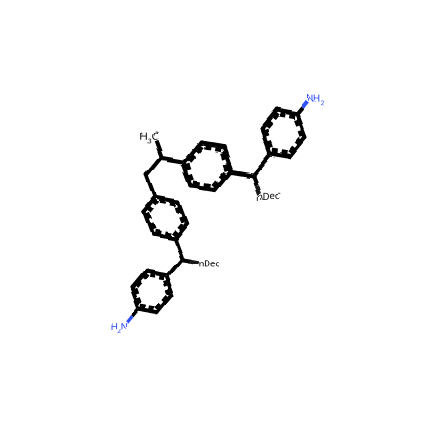 CCCCCCCCCCC(c1ccc(N)cc1)c1ccc(CC(C)c2ccc(C(CCCCCCCCCC)c3ccc(N)cc3)cc2)cc1